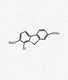 CCc1c(OC)ccc2c1Cc1cc(OC)ccc1-2